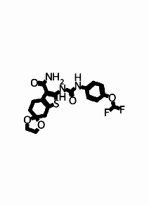 NC(=O)c1c(NC(=O)Nc2ccc(OC(F)F)cc2)sc2c1CCC1(C2)OCCO1